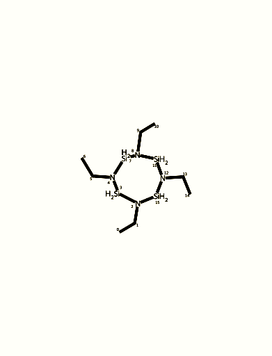 CCN1[SiH2]N(CC)[SiH2]N(CC)[SiH2]N(CC)[SiH2]1